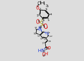 COc1cccc(S(=O)(=O)N2CCc3cc(C=CC(=O)NO)cnc32)c1